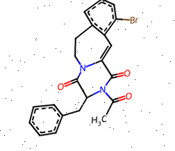 CC(=O)N1C(=O)C2=Cc3c(Br)cccc3CCN2C(=O)C1Cc1ccccc1